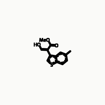 COC(=O)C(=CO)c1csc2ccc(C)cc12